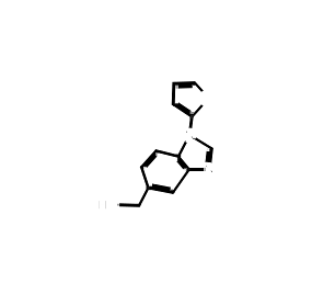 OCc1ccc2c(c1)ncn2-c1ccco1